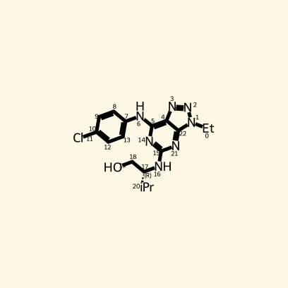 CCn1nnc2c(Nc3ccc(Cl)cc3)nc(N[C@@H](CO)C(C)C)nc21